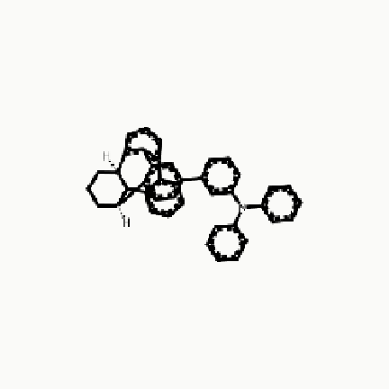 c1ccc(N(c2ccccc2)c2cccc(-c3ccc4c(c3)-c3c5cccc3[C@@H]3CCC[C@H]4C3c3ccccc3-5)c2)cc1